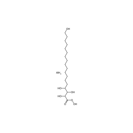 O=C(OO)C(O)C(O)C(O)CCCCCCCCCCCCCCO.[AlH3]